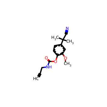 C#CCNC(=O)Oc1ccc(C(C)(C)C#N)cc1OC